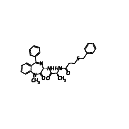 C[C@H](NC(=O)CCSCc1ccccc1)C(=O)N[C@H]1N=C(c2ccccc2)c2ccccc2N(C)C1=O